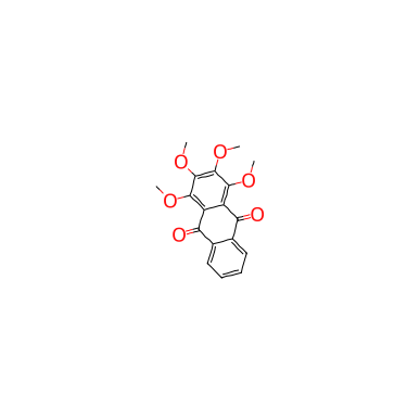 COc1c(OC)c(OC)c2c(c1OC)C(=O)c1ccccc1C2=O